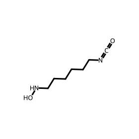 O=C=NCCCCCCNO